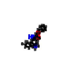 Cc1ccc(CC2(N(C)C)CCC(NC(=O)COCc3ccccc3)CC2)cc1